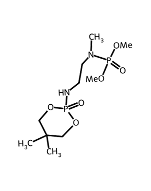 COP(=O)(OC)N(C)CCNP1(=O)OCC(C)(C)CO1